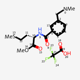 CNCc1cccc(C(=O)N[C@@H](CCSC)C(=O)OC)c1.O=C(O)C(F)(F)F